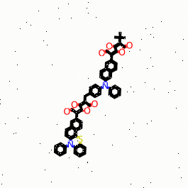 CC(C)(C)C1=C2OC(=O)C(c3ccc4cc(N(c5ccccc5)c5ccc(CC6=C7OC(=O)C(c8ccc9c%10c(ccc9c8)N(c8ccccc8)c8ccccc8S%10)=C7OC6=O)cc5)ccc4c3)=C2OC1=O